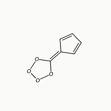 C1=CC(=C2OOOO2)C=C1